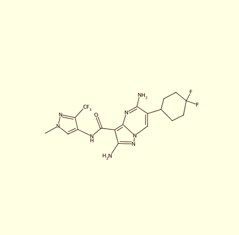 Cn1cc(NC(=O)c2c(N)nn3cc(C4CCC(F)(F)CC4)c(N)nc23)c(C(F)(F)F)n1